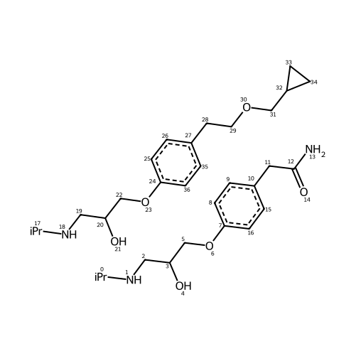 CC(C)NCC(O)COc1ccc(CC(N)=O)cc1.CC(C)NCC(O)COc1ccc(CCOCC2CC2)cc1